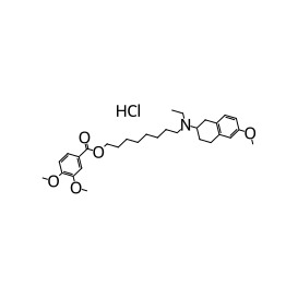 CCN(CCCCCCCCOC(=O)c1ccc(OC)c(OC)c1)C1CCc2cc(OC)ccc2C1.Cl